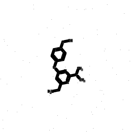 CN(C)c1nc(CN)cc(Oc2ccc(CS)cc2)n1